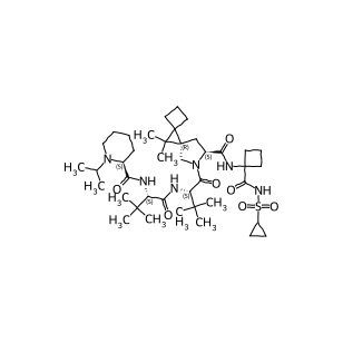 CC(C)N1CCCC[C@H]1C(=O)N[C@H](C(=O)N[C@H](C(=O)N1C[C@]2(C[C@H]1C(=O)NC1(C(=O)NS(=O)(=O)C3CC3)CCC1)C(C)(C)C21CCC1)C(C)(C)C)C(C)(C)C